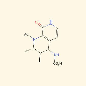 CC(=O)N1c2c(cc[nH]c2=O)[C@H](NC(=O)O)[C@@H](C)[C@@H]1C